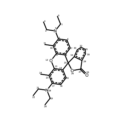 CCN(CC)c1ccc2c(c1C)Oc1c(ccc(N(CC)CC)c1C)C21OC(=O)c2ccccc21